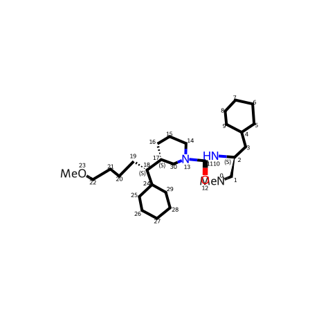 CNC[C@H](CC1CCCCC1)NC(=O)N1CCC[C@@H]([C@@H](CCCCOC)C2CCCCC2)C1